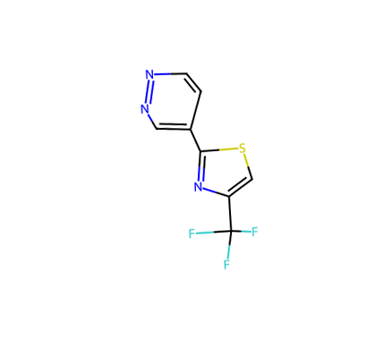 FC(F)(F)c1csc(-c2ccnnc2)n1